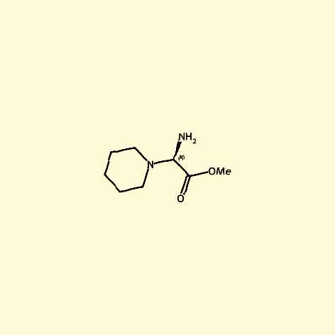 COC(=O)[C@H](N)N1CCCCC1